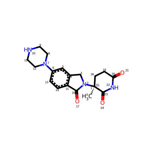 C[C@]1(N2Cc3cc(N4CCNCC4)ccc3C2=O)CCC(=O)NC1=O